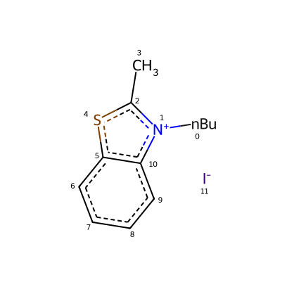 CCCC[n+]1c(C)sc2ccccc21.[I-]